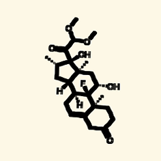 COC(OC)C(=O)[C@@]1(O)[C@@H](C)C[C@H]2[C@@H]3CC=C4CC(=O)CC[C@]4(C)[C@@]3(F)[C@@H](O)C[C@@]21C